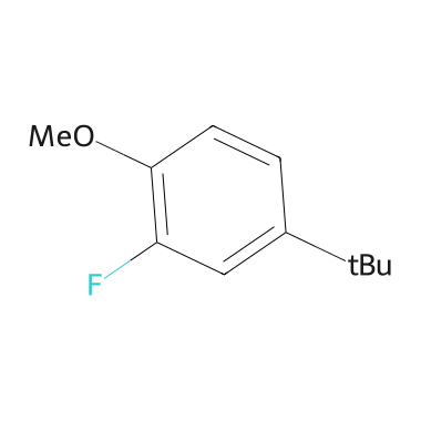 COc1ccc(C(C)(C)C)cc1F